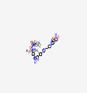 Cc1cc(-c2n[nH]c3ncc(-c4ccc(N5CCN(CCC6CCN(c7ccc(C8CCC(=O)NC8=O)c(C)n7)CC6)CC5)cc4)cc23)ccc1[C@@H](C)NC(=O)c1noc(C(C)(C)C)n1